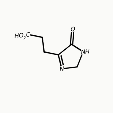 O=C(O)CCC1=NCNC1=O